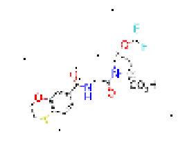 O=C(NCC(=O)N1C[C@H](OC(F)F)C[C@H]1C(=O)O)c1ccc2c(c1)OCCS2